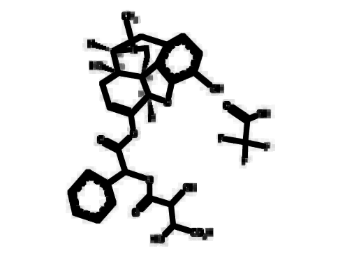 CN1CC[C@]23c4c5ccc(O)c4O[C@H]2C(OC(=O)C(OC(=O)C(O)C(O)C(=O)O)c2ccccc2)=CC[C@@]3(O)[C@H]1C5.O=C(O)C(F)(F)F